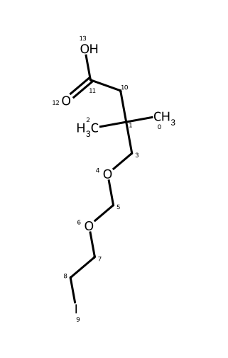 CC(C)(COCOCCI)CC(=O)O